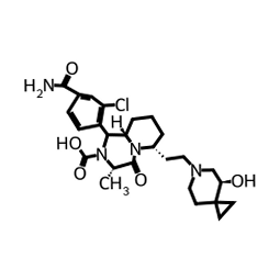 C[C@H]1C(=O)N2[C@@H](CCN3CCC4(CC4)[C@H](O)C3)CCC[C@H]2C(c2ccc(C(N)=O)cc2Cl)N1C(=O)O